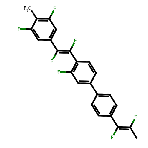 C/C(F)=C(\F)c1ccc(-c2ccc(/C(F)=C(\F)c3cc(F)c(C(F)(F)F)c(F)c3)c(F)c2)cc1